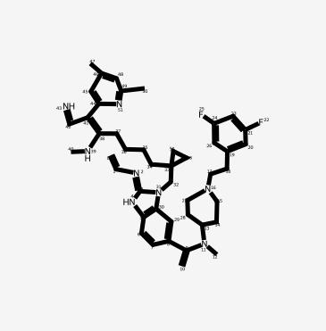 C=C/N=c1\[nH]c2ccc(C(=C)N(C)C3CCN(CCc4cc(F)cc(F)c4)CC3)cc2n1CC1(CCCC/C(NC)=C(/C=N)c2cc(C)cc(C)n2)CC1